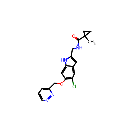 CC1(C(=O)NCc2cc3cc(Cl)c(OCc4cccnn4)cc3[nH]2)CC1